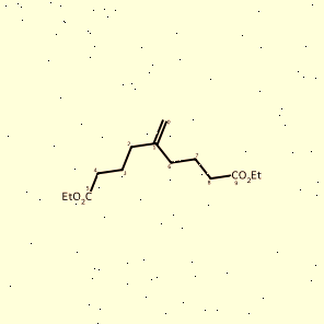 C=C(CCCC(=O)OCC)CCCC(=O)OCC